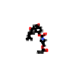 CNC(=O)OCC1CN(C(=O)OC2CCC3(CO3)C([C@@]3(C)O[C@@H]3CC=C(C)C)C2OC)C1